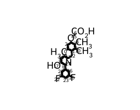 Cc1cc(OCC(=O)O)c(C)c(C)c1Cc1ccc(O)c(-c2cc(F)cc(F)c2)n1